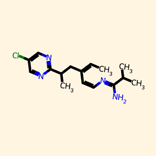 C\C=C(/C=C\N=C(/N)C(C)C)CC(C)c1ncc(Cl)cn1